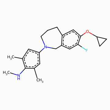 CNc1c(C)cc(N2CCCc3cc(OC4CC4)c(F)cc3C2)cc1C